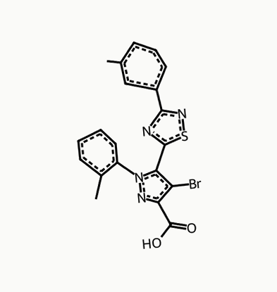 Cc1cccc(-c2nsc(-c3c(Br)c(C(=O)O)nn3-c3ccccc3C)n2)c1